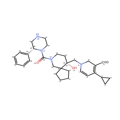 O=CC1=C(C2CC2)C=CN(C[C@]2(O)CCN(C(=O)N3CCNC[C@H]3c3ccccc3)CC23CCCC3)C1